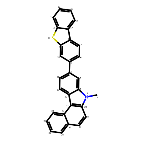 Cn1c2cc(-c3ccc4c(c3)sc3ccccc34)ccc2c2c3ccccc3ccc21